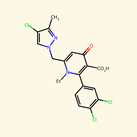 CCn1c(Cn2cc(Cl)c(C)n2)cc(=O)c(C(=O)O)c1-c1ccc(Cl)c(Cl)c1